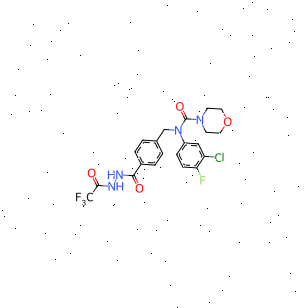 O=C(NNC(=O)C(F)(F)F)c1ccc(CN(C(=O)N2CCOCC2)c2ccc(F)c(Cl)c2)cc1